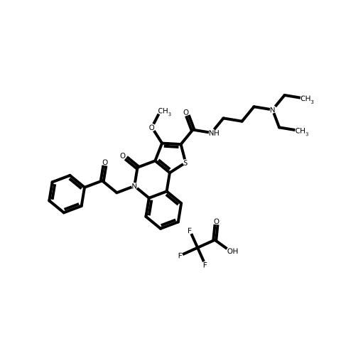 CCN(CC)CCCNC(=O)c1sc2c(c1OC)c(=O)n(CC(=O)c1ccccc1)c1ccccc21.O=C(O)C(F)(F)F